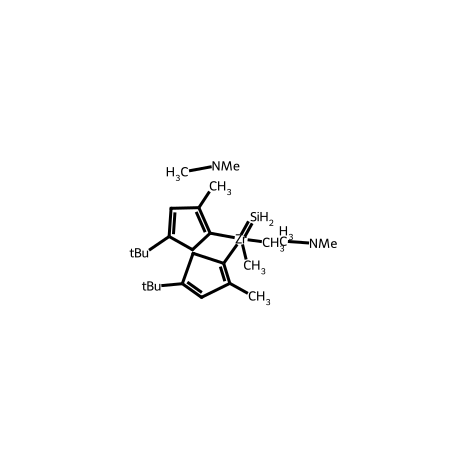 CC1=[C]([Zr]([CH3])([CH3])(=[SiH2])[C]2=C(C)C=C(C(C)(C)C)C2)CC(C(C)(C)C)=C1.CNC.CNC